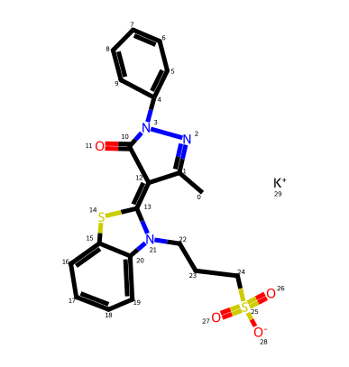 CC1=NN(c2ccccc2)C(=O)C1=C1Sc2ccccc2N1CCCS(=O)(=O)[O-].[K+]